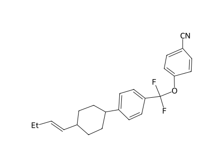 CCC=CC1CCC(c2ccc(C(F)(F)Oc3ccc(C#N)cc3)cc2)CC1